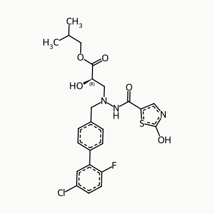 CC(C)COC(=O)[C@H](O)CN(Cc1ccc(-c2cc(Cl)ccc2F)cc1)NC(=O)c1cnc(O)s1